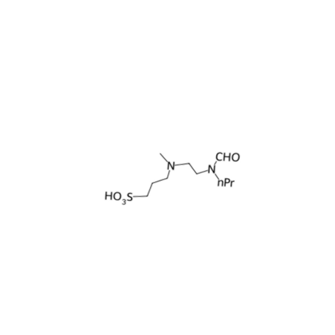 CCCN(C=O)CCN(C)CCCS(=O)(=O)O